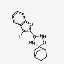 Fc1c(N2NO[C@@]3(CC4CCC3CC4)N2)oc2ccccc12